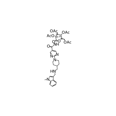 CC(=O)OC[C@H]1O[C@@H](ONC(=O)c2cnc(N3CCC(CNCc4cn(C)c5ccccc45)CC3)nc2)[C@H](OC(C)=O)[C@@H](OC(C)=O)[C@H]1OC(C)=O